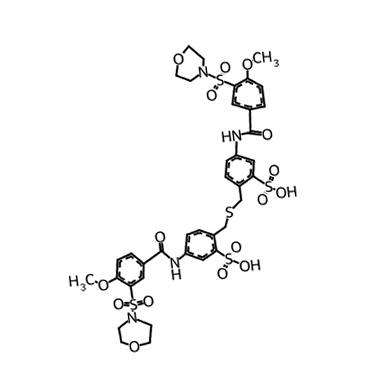 COc1ccc(C(=O)Nc2ccc(CSCc3ccc(NC(=O)c4ccc(OC)c(S(=O)(=O)N5CCOCC5)c4)cc3S(=O)(=O)O)c(S(=O)(=O)O)c2)cc1S(=O)(=O)N1CCOCC1